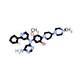 COc1cc(N2CCC(N3CCN(C)CC3)CC2)c(Br)cc1N(c1ccnc(-c2ccccc2F)c1)c1cc(N)ncn1